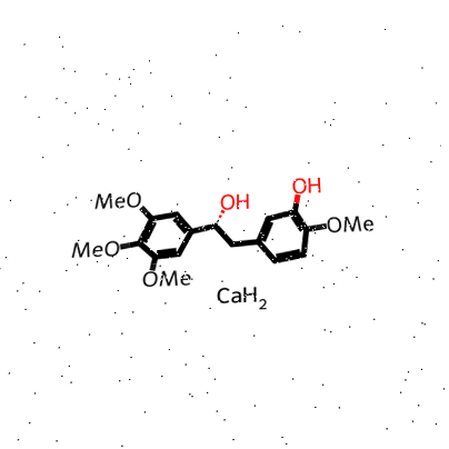 COc1ccc(C[C@@H](O)c2cc(OC)c(OC)c(OC)c2)cc1O.[CaH2]